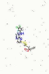 COC(=O)CCSc1ccc2ncnc(Nc3ccc(Cl)c(Cl)c3F)c2n1